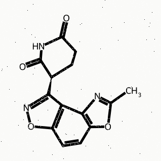 Cc1nc2c(ccc3onc([C@@H]4CCC(=O)NC4=O)c32)o1